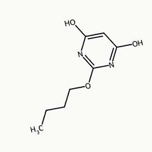 CCCCOc1nc(O)cc(O)n1